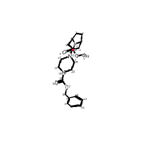 CC(C)(C)OC(=O)N1C2CCC1CC(N1CCN(C(=O)OCc3ccccc3)CC1)C2